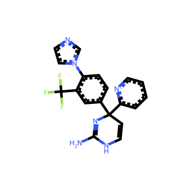 NC1=NC(c2ccc(-n3ccnc3)c(C(F)(F)F)c2)(c2ccccn2)C=CN1